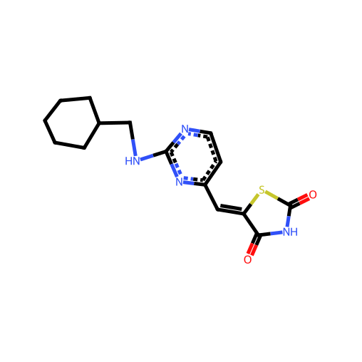 O=C1NC(=O)/C(=C/c2ccnc(NCC3CCCCC3)n2)S1